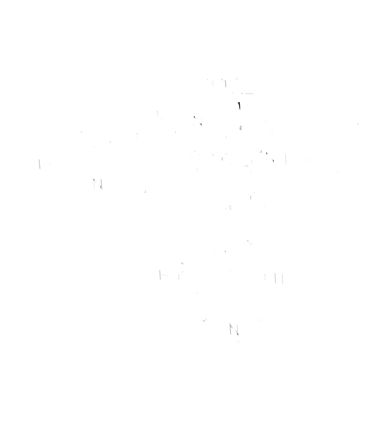 Cc1nc2ccc(S(=O)(=O)N(CC(C)C)C[C@@H](O)[C@H](Cc3ccccc3)NC(=O)OCCOc3c(C)cncc3C)cc2o1